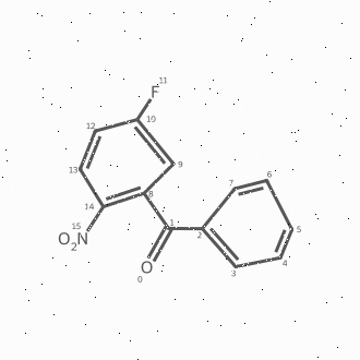 O=C(c1ccccc1)c1cc(F)ccc1[N+](=O)[O-]